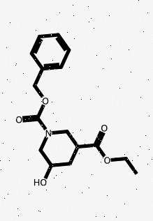 CCOC(=O)C1CC(O)CN(C(=O)OCc2ccccc2)C1